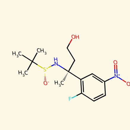 CC(C)(C)[S@@+]([O-])N[C@@](C)(CCO)c1cc([N+](=O)[O-])ccc1F